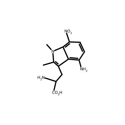 Cc1c(CC(N)C(=O)O)c2c(N)ccc([N+](=O)[O-])c2n1C